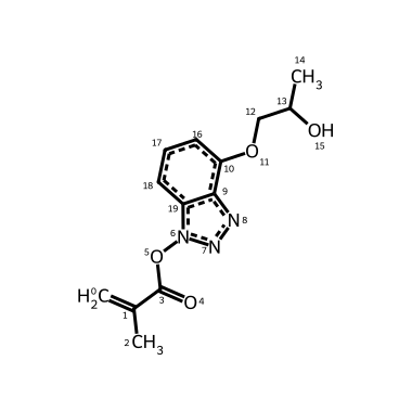 C=C(C)C(=O)On1nnc2c(OCC(C)O)cccc21